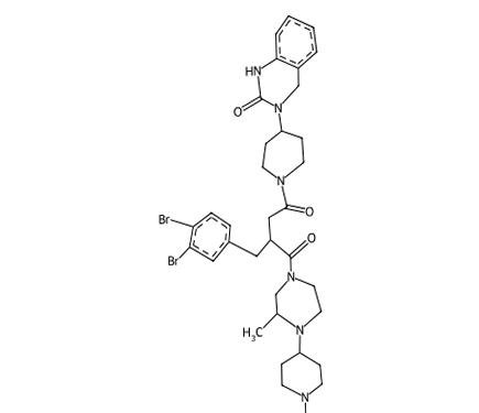 CC1CN(C(=O)C(CC(=O)N2CCC(N3Cc4ccccc4NC3=O)CC2)Cc2ccc(Br)c(Br)c2)CCN1C1CCN(C)CC1